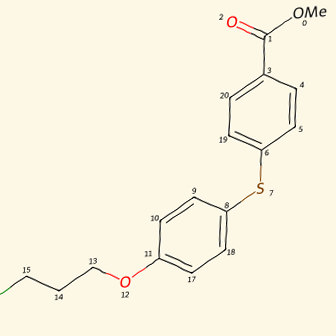 COC(=O)c1ccc(Sc2ccc(OCCCCl)cc2)cc1